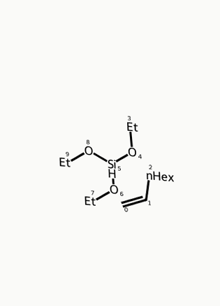 C=CCCCCCC.CCO[SiH](OCC)OCC